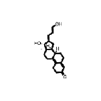 C[C@@]12CCC3=C4CCC(=O)C=C4CC[C@H]3[C@@H]1CC(CCCO)[C@H]2O